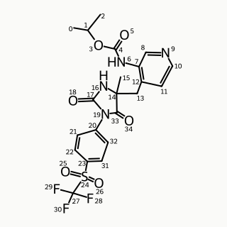 CC(C)OC(=O)Nc1cnccc1CC1(C)NC(=O)N(c2ccc(S(=O)(=O)C(F)(F)F)cc2)C1=O